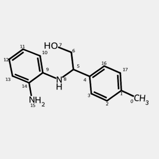 Cc1ccc(C(CO)Nc2ccccc2N)cc1